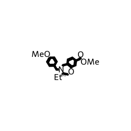 CC[C@H]1COc2cc(C(=O)OC)ccc2CN1Cc1ccc(OC)cc1